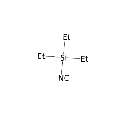 [C-]#[N+][Si](CC)(CC)CC